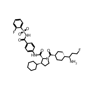 N[C@H](CCF)[C@H]1CC[C@H](C(=O)N2CC[C@@H](C3CCCCC3)[C@H]2C(=O)Nc2ccc(C(=O)NS(=O)(=O)c3ccccc3F)cc2)CC1